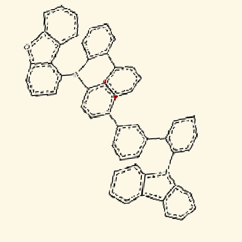 c1ccc(-c2ccccc2N(c2ccc(-c3cccc(-c4ccccc4-n4c5ccccc5c5ccccc54)c3)cc2)c2cccc3oc4ccccc4c23)cc1